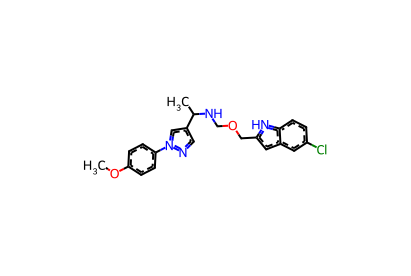 COc1ccc(-n2cc(C(C)NCOCc3cc4cc(Cl)ccc4[nH]3)cn2)cc1